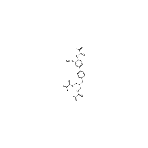 C=C(C)C(=O)OCC(COC(=O)C(=C)C)Cc1ccc(-c2ccc(OC(=O)C(=C)C)c(OC)c2)cc1